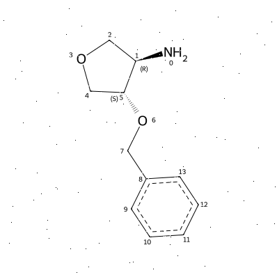 N[C@@H]1COC[C@H]1OCc1ccccc1